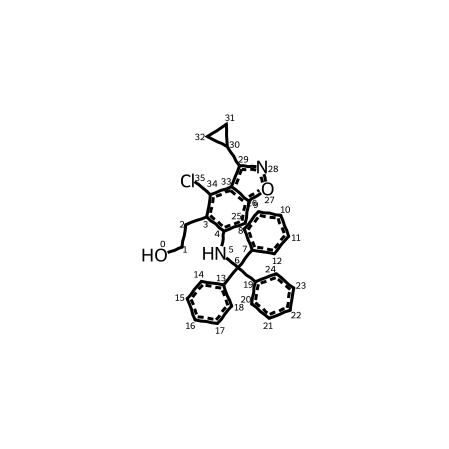 OCCc1c(NC(c2ccccc2)(c2ccccc2)c2ccccc2)cc2onc(C3CC3)c2c1Cl